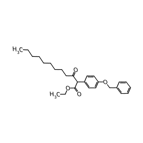 CCCCCCCCCC(=O)C(C(=O)OCC)c1ccc(OCc2ccccc2)cc1